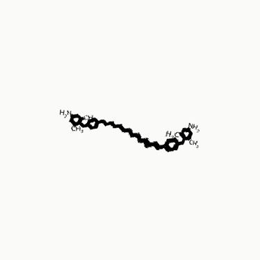 Cc1cc(N)cc(C)c1Cc1ccc(CCCCCCCCCCCCCCc2ccc(Cc3c(C)cc(N)cc3C)cc2)cc1